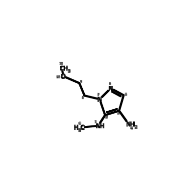 CNc1c(N)cnn1CCOC